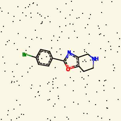 Brc1ccc(-c2nc3c(o2)CCNC3)cc1